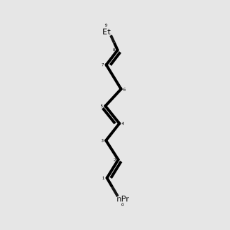 [CH2]CC/C=C/C/C=C/C/C=C/CC